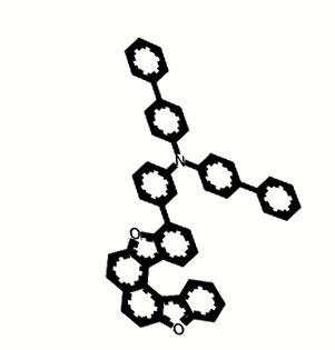 c1ccc(-c2ccc(N(c3ccc(-c4ccccc4)cc3)c3cccc(-c4cccc5c4oc4ccc6ccc7oc8ccccc8c7c6c45)c3)cc2)cc1